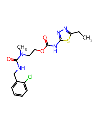 CCc1nnc(NC(=O)OCCN(C)C(=O)NCc2ccccc2Cl)s1